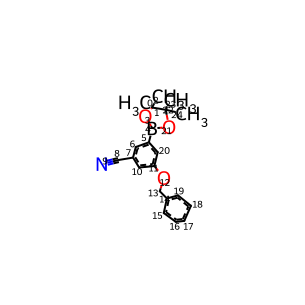 CC1(C)OB(c2cc(C#N)cc(OCc3ccccc3)c2)OC1(C)C